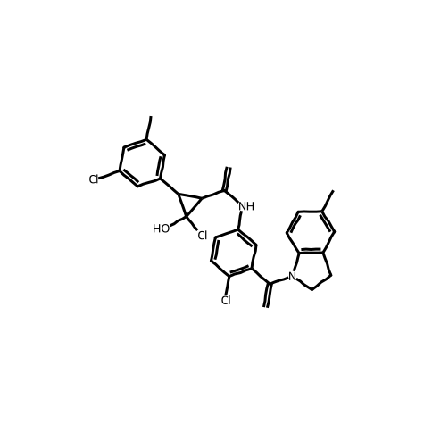 C=C(Nc1ccc(Cl)c(C(=C)N2CCc3cc(C)ccc32)c1)C1C(c2cc(C)cc(Cl)c2)C1(O)Cl